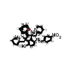 NC(Cc1ccccn1)(Cc1ccccn1)c1c(O)ccc(N=Nc2ccc([N+](=O)[O-])cc2)c1C(N)(Cc1ccccn1)Cc1ccccn1